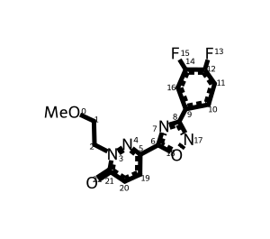 COCCn1nc(-c2nc(-c3ccc(F)c(F)c3)no2)ccc1=O